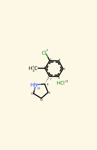 Cc1c(Cl)cccc1[C@@H]1CCCN1.Cl